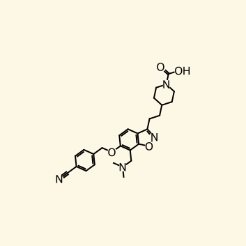 CN(C)Cc1c(OCc2ccc(C#N)cc2)ccc2c(CCC3CCN(C(=O)O)CC3)noc12